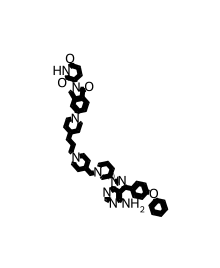 Nc1ncnc2c1c(-c1ccc(Oc3ccccc3)cc1)nn2[C@@H]1CCCN(CC2CCN(CCCC3CCN(c4ccc5c(c4)CN(C4CCC(=O)NC4=O)C5=O)CC3)CC2)C1